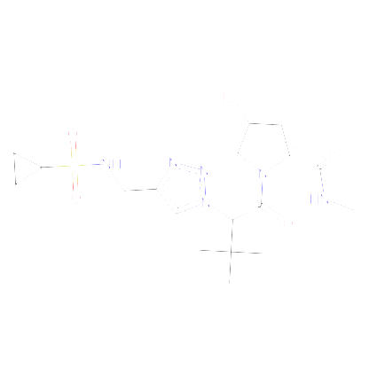 CNC(=O)[C@H]1CC(O)CN1C(=O)C(n1cc(CNS(=O)(=O)C2CC2)nn1)C(C)(C)C